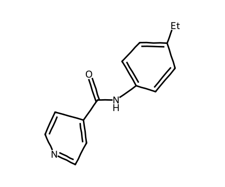 CCc1ccc(NC(=O)c2ccncc2)cc1